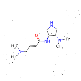 CC(C)N(C)[C@H]1CNC[C@@H]1NC(=O)/C=C/CN(C)C